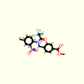 COC(=O)c1ccc(CN(C(=O)C(F)(F)F)c2ccc(C)cc2[N+](=O)[O-])cc1